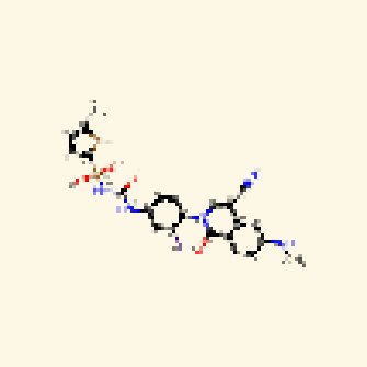 CNc1ccc2c(=O)n(-c3ccc(NC(=O)NS(=O)(=O)c4ccc(C)s4)cc3I)cc(C#N)c2c1